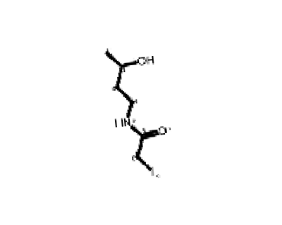 CC(O)CCNC(=O)CI